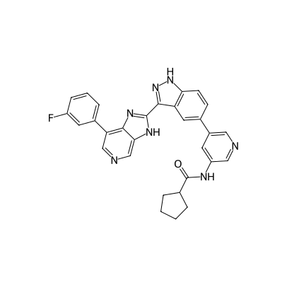 O=C(Nc1cncc(-c2ccc3[nH]nc(-c4nc5c(-c6cccc(F)c6)cncc5[nH]4)c3c2)c1)C1CCCC1